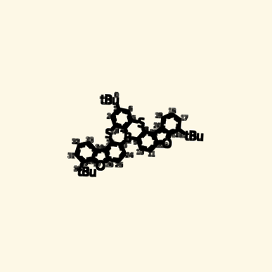 CC(C)(C)c1cc2c3c(c1)Sc1c(ccc4oc5c(C(C)(C)C)cccc5c14)B3c1ccc3oc4c(C(C)(C)C)cccc4c3c1S2